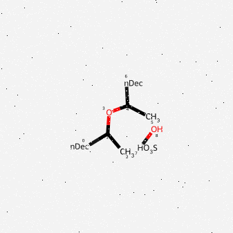 CCCCCCCCCCC(C)OC(C)CCCCCCCCCC.O=S(=O)(O)O